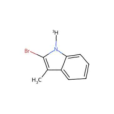 [3H]n1c(Br)c(C)c2ccccc21